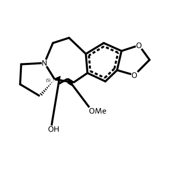 COC1=C2c3cc4c(cc3CCN3CCC[C@]23CC1O)OCO4